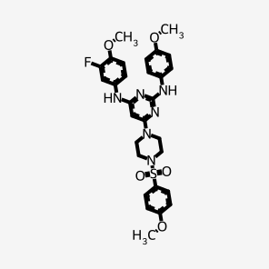 COc1ccc(Nc2nc(Nc3ccc(OC)c(F)c3)cc(N3CCN(S(=O)(=O)c4ccc(OC)cc4)CC3)n2)cc1